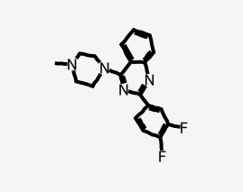 CN1CCN(c2nc(-c3ccc(F)c(F)c3)nc3ccccc23)CC1